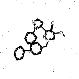 COc1cn(Cc2ccc(-c3ccccc3)cc2)nc(-c2ccnn2-c2ccccc2)c1=O